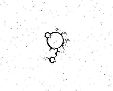 C=C1C[C@H](C)C[C@@H]2CC=C[C@@H](C/C=C\C(=O)O[C@H]([C@@H](O)/C=C/[C@@H]3CC(C)=CCO3)C[C@H]3O[C@@H]3[C@@H](C)C1)O2